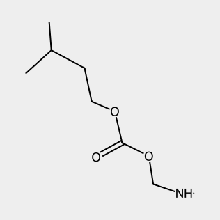 CC(C)CCOC(=O)OC[NH]